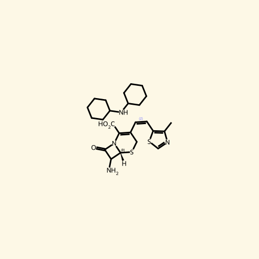 C1CCC(NC2CCCCC2)CC1.Cc1ncsc1/C=C\C1=C(C(=O)O)N2C(=O)C(N)[C@H]2SC1